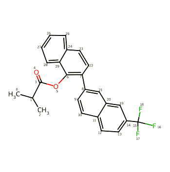 CC(C)C(=O)Oc1c(-c2ccc3ccc(C(F)(F)F)cc3c2)ccc2ccccc12